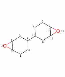 C1CC2OC2C[C]1C1CCC2OC2C1